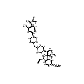 C=CCOC(C(=O)N1CCC(CC2CCN(c3ccc(C(=O)N(C)C)c(Cl)c3)CC2)CC1)(c1cccc(OC)c1)C(C)(F)F